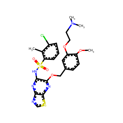 COc1ccc(COc2nc3scnc3nc2NS(=O)(=O)c2cccc(Cl)c2C)cc1OCCN(C)C